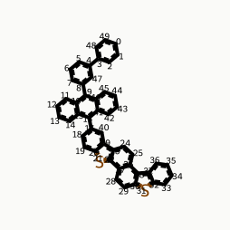 c1ccc(-c2cccc(-c3c4ccccc4c(-c4ccc5sc6c(ccc7c6ccc6sc8ccccc8c67)c5c4)c4ccccc34)c2)cc1